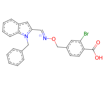 O=C(O)c1ccc(CO/N=C/c2cc3ccccc3n2Cc2ccccc2)cc1Br